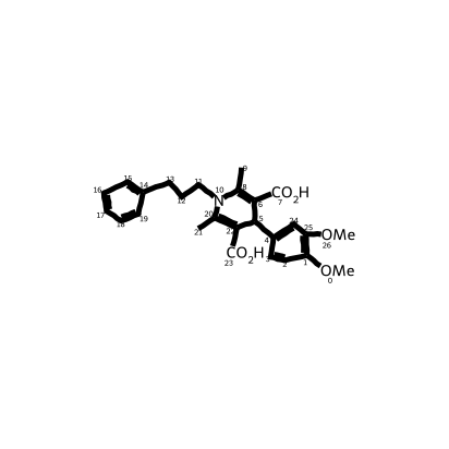 COc1ccc(C2C(C(=O)O)=C(C)N(CCCc3ccccc3)C(C)=C2C(=O)O)cc1OC